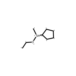 CCO[SiH](C)C1CCCC1